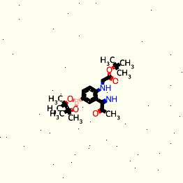 CC(=O)C(=N)c1cc(B2OC(C)(C)C(C)(C)O2)ccc1NCC(=O)OC(C)(C)C